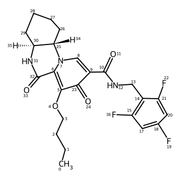 CCCCOc1c2n(cc(C(=O)NCc3c(F)cc(F)cc3F)c1=O)[C@H]1CCCC[C@@H]1NC2=O